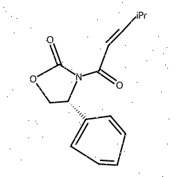 CC(C)C=CC(=O)N1C(=O)OC[C@H]1c1ccccc1